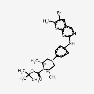 C[C@@H]1CN(c2ccc(Nc3ncc4cc(Br)c(N)nc4n3)cc2)C[C@H](C)N1C(=O)OC(C)(C)C